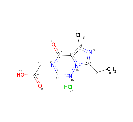 CCc1nc(C)c2c(=O)n(CC(=O)O)cnn12.Cl